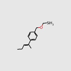 CC/C=C(\C)c1ccc(COC[SiH3])cc1